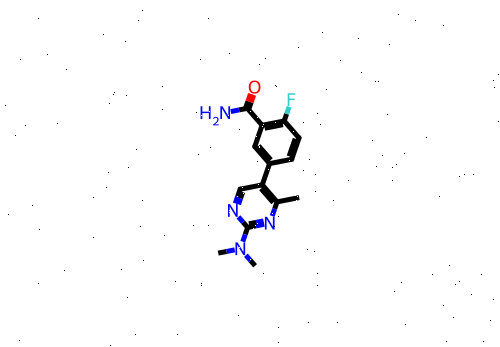 Cc1nc(N(C)C)ncc1-c1ccc(F)c(C(N)=O)c1